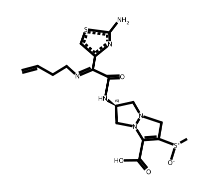 C=CCCN=C(C(=O)N[C@H]1CN2CC([S+](C)[O-])=C(C(=O)O)N2C1)c1csc(N)n1